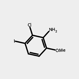 COc1ccc(I)c(Cl)c1N